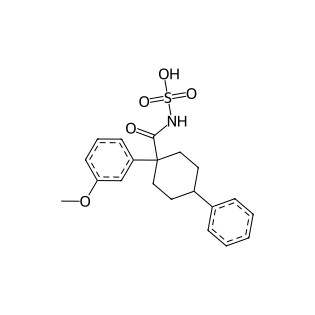 COc1cccc(C2(C(=O)NS(=O)(=O)O)CCC(c3ccccc3)CC2)c1